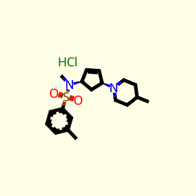 Cc1cccc(S(=O)(=O)N(C)[C@H]2C=C[C@@H](N3CCC(C)CC3)C2)c1.Cl